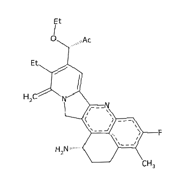 C=C1C(CC)=C([C@H](OCC)C(C)=O)C=C2c3nc4cc(F)c(C)c5c4c(c3CN12)[C@@H](N)CC5